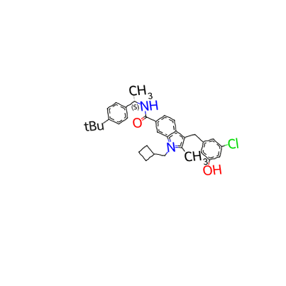 Cc1c(Cc2cc(O)cc(Cl)c2)c2ccc(C(=O)N[C@@H](C)c3ccc(C(C)(C)C)cc3)cc2n1CC1CCC1